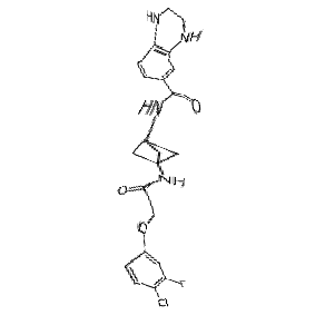 O=C(COc1ccc(Cl)c(F)c1)NC12CC(NC(=O)c3ccc4c(c3)NCCN4)(C1)C2